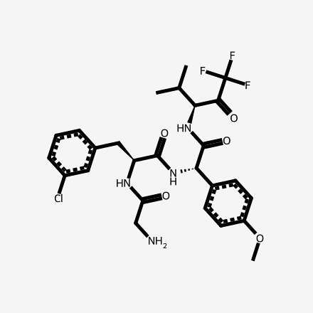 COc1ccc([C@H](NC(=O)[C@H](Cc2cccc(Cl)c2)NC(=O)CN)C(=O)N[C@H](C(=O)C(F)(F)F)C(C)C)cc1